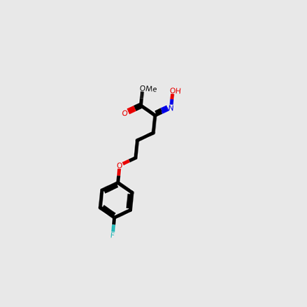 COC(=O)/C(CCCOc1ccc(F)cc1)=N\O